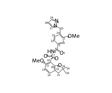 COc1cc(C(=O)NS(=O)(=O)c2c(OC)ccc3c2OC(C)(C)C3)ccc1Cn1cccn1